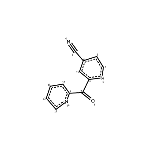 N#Cc1ccnc(C(=O)c2ccccn2)c1